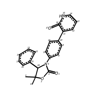 CC1(C)OC(=O)N(c2ccc(-c3ccc[nH]c3=O)cc2)C1c1ccccc1